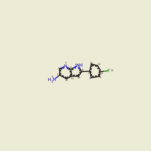 Nc1cnc2[nH]c(-c3ccc(F)cc3)cc2c1